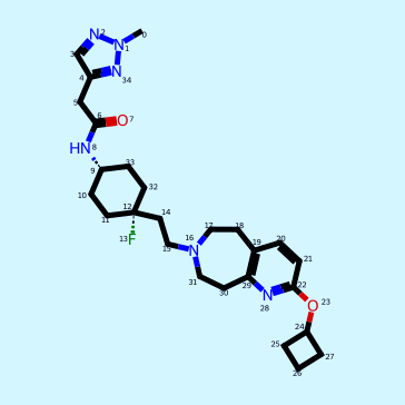 Cn1ncc(CC(=O)N[C@H]2CC[C@](F)(CCN3CCc4ccc(OC5CCC5)nc4CC3)CC2)n1